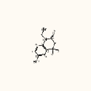 CC1(C)CC(=O)N(CBr)c2ccc(Br)cc21